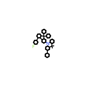 CC1(C)c2ccccc2N(c2ccc3c(c2)C(c2ccccc2)(c2ccccc2)c2cccc(-c4ccc(F)cc4)c2-3)c2ccc(-c3ccccc3)cc21